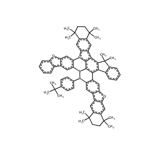 CC(C)(C)c1ccc(N2B3c4cc5c(cc4-n4c6cc7c(cc6c6c8c(c(c3c64)-c3cc4oc6cc9c(cc6c4cc32)C(C)(C)CCC9(C)C)-c2ccccc2C8(C)C)C(C)(C)CCC7(C)C)oc2ccccc25)cc1